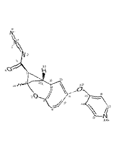 [N-]=[N+]=NC(=O)[C@@H]1[C@H]2Oc3ccc(Oc4ccncc4)cc3[C@H]21